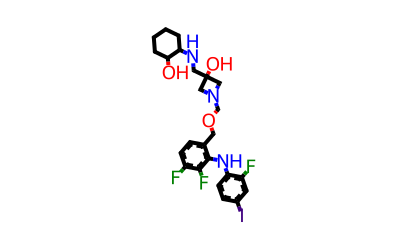 OC1CCCCC1NCC1(O)CN(COCc2ccc(F)c(F)c2Nc2ccc(I)cc2F)C1